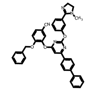 CN1CCN=C1c1cccc(Oc2nc(Oc3cc(C#N)ccc3OCc3ccccc3)cc(-c3ccc(-c4ccccc4)cc3)n2)c1